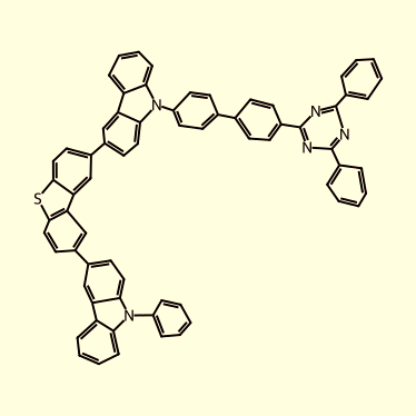 c1ccc(-c2nc(-c3ccccc3)nc(-c3ccc(-c4ccc(-n5c6ccccc6c6cc(-c7ccc8sc9ccc(-c%10ccc%11c(c%10)c%10ccccc%10n%11-c%10ccccc%10)cc9c8c7)ccc65)cc4)cc3)n2)cc1